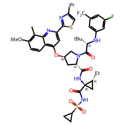 CC[C@@H]1C[C@]1(NC(=O)[C@@H]1C[C@@H](Oc2cc(-c3nc(C(C)C)cs3)nc3c(C)c(OC)ccc23)CN1C(=O)[C@@H](Nc1cc(F)cc(C(F)(F)F)c1)C(C)(C)C)C(=O)NS(=O)(=O)C1CC1